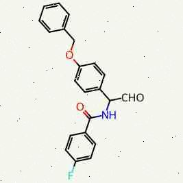 O=CC(NC(=O)c1ccc(F)cc1)c1ccc(OCc2ccccc2)cc1